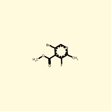 COC(=O)c1c(Br)cnc(C)c1F